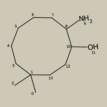 CC1(C)CCCCCC(N)C(O)CC1